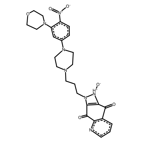 O=C1C2=C(C(=O)c3ncccc31)N(CCCN1CCN(c3ccc([N+](=O)[O-])c(N4CCOCC4)c3)CC1)[NH+]2[O-]